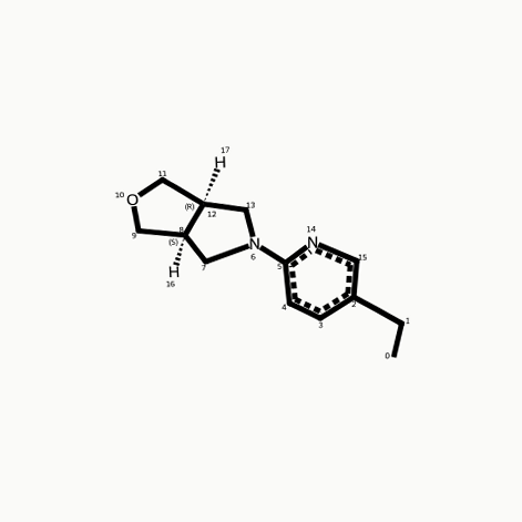 CCc1ccc(N2C[C@H]3COC[C@H]3C2)nc1